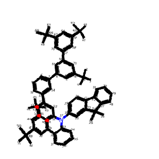 CC(C)(C)c1cc(-c2cccc(-c3cccc(N(c4ccc5c(c4)C(C)(C)c4ccccc4-5)c4ccccc4-c4cc(C(C)(C)C)cc(C(C)(C)C)c4)c3)c2)cc(-c2cc(C(C)(C)C)cc(C(C)(C)C)c2)c1